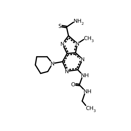 CCNC(=O)Nc1nc(N2CCCCC2)c2nc(C(N)=S)n(C)c2n1